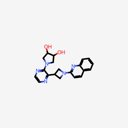 OC1CN(c2nccnc2C2CN(c3ccc4ccccc4n3)C2)CC1O